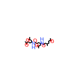 CC(=O)CCC(C)CC(=O)NC(CCC(=O)NC(CCC(C)=O)CC(C)=O)CC(C)=O